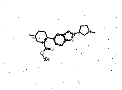 C[C@H]1CCC(c2ccc3nn([C@H]4CCN(C)C4)cc3c2)=[N+](C(=O)OC(C)(C)C)C1